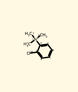 C[N+](C)(C)c1ccccc1Cl